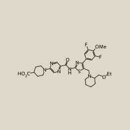 CCOCC1CCCCN1Cc1sc(NC(=O)c2cnc(N3CCC(C(=O)O)CC3)cn2)nc1-c1cc(F)c(OC)c(F)c1